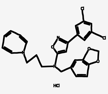 Cl.Clc1cc(Cl)cc(-c2cc(N(CCCN3C=CC=CC=C3)Cc3ccc4c(c3)OCO4)on2)c1